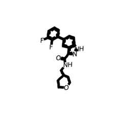 O=C(NCC1CCOCC1)c1n[nH]c2ccc(-c3cccc(F)c3F)cc12